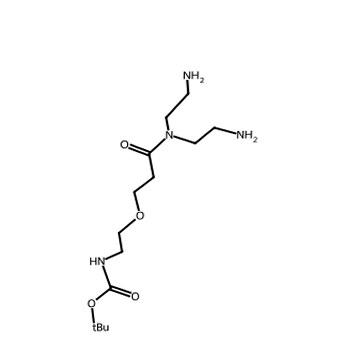 CC(C)(C)OC(=O)NCCOCCC(=O)N(CCN)CCN